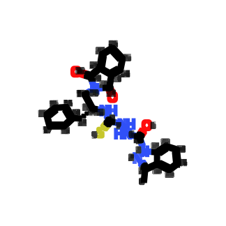 Cc1nn(C(=O)NNC(=S)N[C@H](Cc2ccccc2)CN2C(=O)c3ccccc3C2=O)c2cc[c]cc12